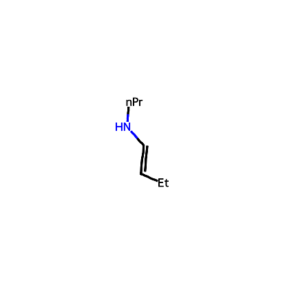 [CH2]C/C=C/NCCC